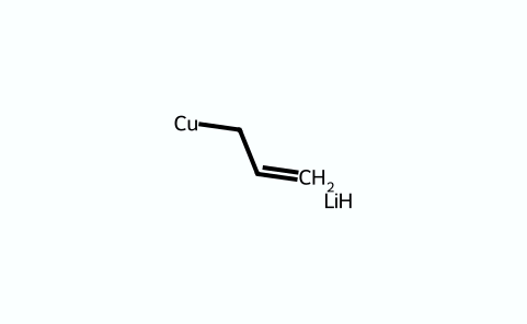 C=C[CH2][Cu].[LiH]